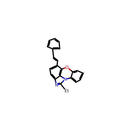 CCc1nc2ccc(/C=C/c3ccccc3)c3c2n1-c1ccccc1O3